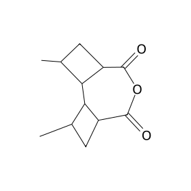 CC1CC2C(=O)OC(=O)C3CC(C)C3C12